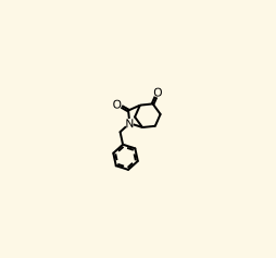 O=C1CCC2CC1C(=O)N2Cc1ccccc1